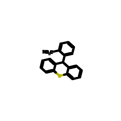 O=C(O)c1ccccc1C1c2ccccc2Sc2ccccc21